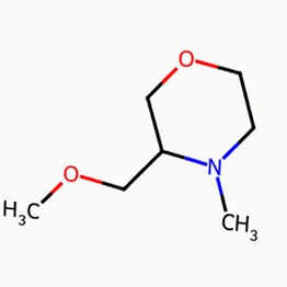 COCC1COCCN1C